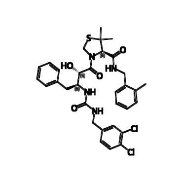 Cc1ccccc1CNC(=O)[C@H]1N(C(=O)[C@@H](O)[C@H](Cc2ccccc2)NC(=O)NCc2ccc(Cl)c(Cl)c2)CSC1(C)C